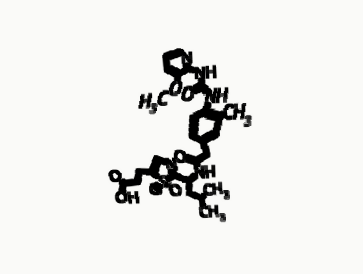 COc1cccnc1NC(=O)Nc1ccc(CC(=O)NC(CC(C)C)C2=NC=C(CCC(=O)O)S2(=O)=O)cc1C